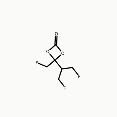 O=C1OC(CF)(C(CF)CF)O1